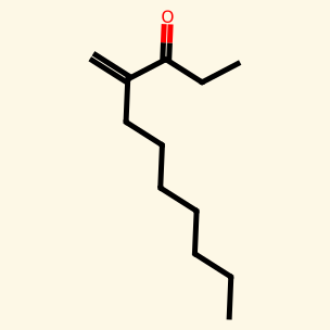 C=C(CCCCCCC)C(=O)CC